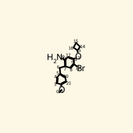 COc1ccc(Cc2cc(Br)c(OC3CCC3)cc2N)cc1